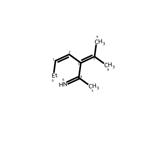 CC/C=C\C(C(C)=N)=C(C)C